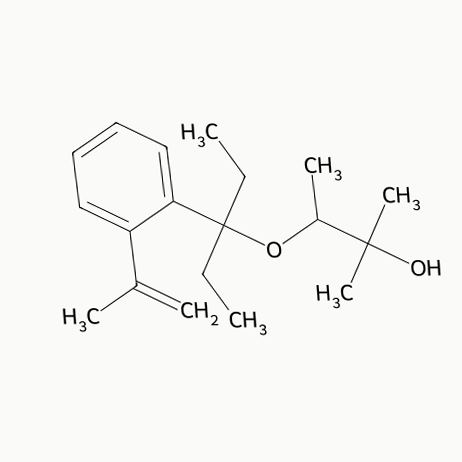 C=C(C)c1ccccc1C(CC)(CC)OC(C)C(C)(C)O